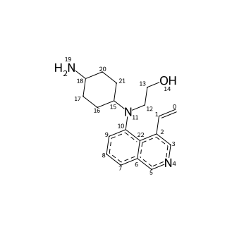 C=Cc1cncc2cccc(N(CCO)C3CCC(N)CC3)c12